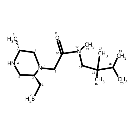 BC[C@H]1CN[C@H](C)CN1CC(=O)N(C)CC(C)(C)C(C)C